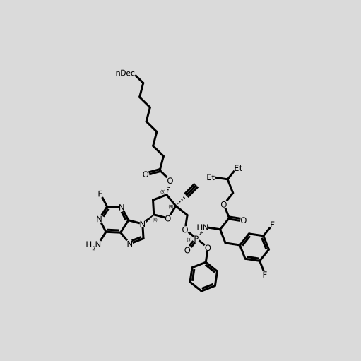 C#C[C@]1(CO[P@@](=O)(NC(Cc2cc(F)cc(F)c2)C(=O)OCC(CC)CC)Oc2ccccc2)O[C@@H](n2cnc3c(N)nc(F)nc32)C[C@@H]1OC(=O)CCCCCCCCCCCCCCCCC